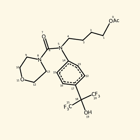 CC(=O)OCCCCN(C(=O)N1CCOCC1)c1ccc(C(O)(C(F)(F)F)C(F)(F)F)cc1